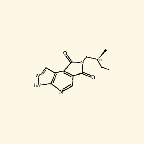 CC[C@H](C)CN1C(=O)c2cnc3[nH]ncc3c2C1=O